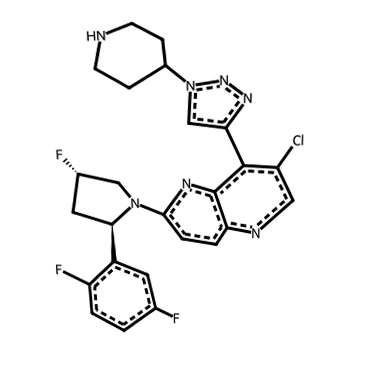 Fc1ccc(F)c([C@H]2C[C@H](F)CN2c2ccc3ncc(Cl)c(-c4cn(C5CCNCC5)nn4)c3n2)c1